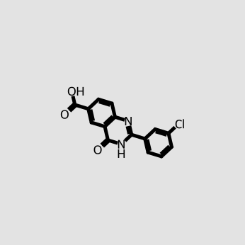 O=C(O)c1ccc2nc(-c3cccc(Cl)c3)[nH]c(=O)c2c1